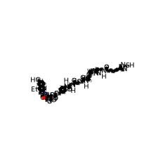 CCc1c2c(nc3ccc(O)cc13)/C(=C/C1=C(C)COC(=O)C1OC(=O)OCc1ccc(NC(=O)CNC(=O)COCC(=O)NC(C)(C)COC(C)(C)Cn3cc(CNC(=O)CCCC#Cc4cnc(S)nc4)nn3)cc1)N(C=O)C2